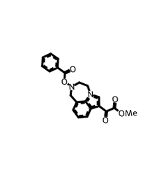 COC(=O)C(=O)c1cn2c3c(cccc13)CN(OC(=O)c1ccccc1)CC2